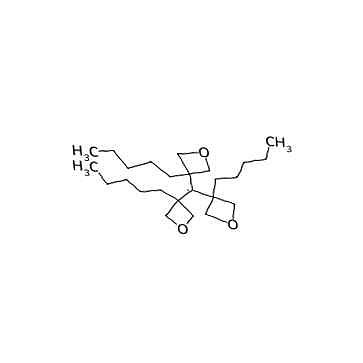 CCCCCC1([C](C2(CCCCC)COC2)C2(CCCCC)COC2)COC1